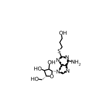 Nc1nc(SCCCO)nc2c1ncn2[C@@H]1O[C@H](CO)C(O)C1O